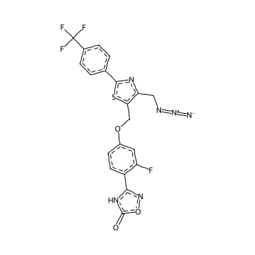 [N-]=[N+]=NCc1nc(-c2ccc(C(F)(F)F)cc2)sc1COc1ccc(-c2noc(=O)[nH]2)c(F)c1